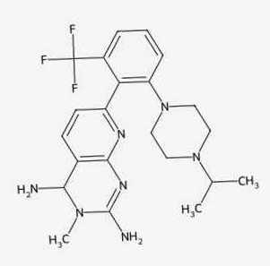 CC(C)N1CCN(c2cccc(C(F)(F)F)c2-c2ccc3c(n2)N=C(N)N(C)C3N)CC1